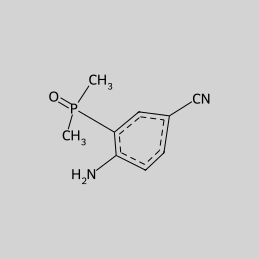 CP(C)(=O)c1cc(C#N)ccc1N